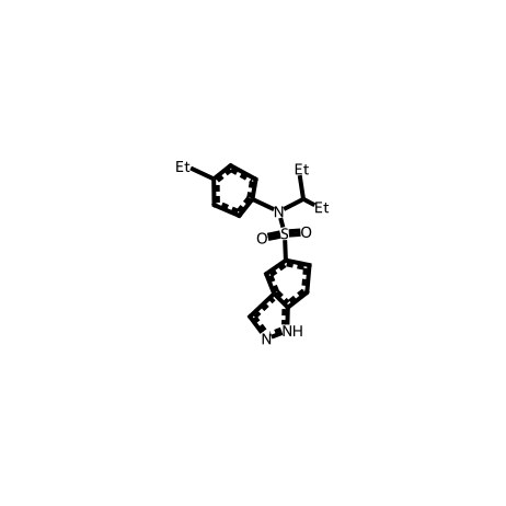 CCc1ccc(N(C(CC)CC)S(=O)(=O)c2ccc3[nH]ncc3c2)cc1